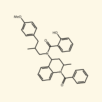 COc1ccc(CC(C)CN(C(=O)c2ccccc2O)C2CC(C)N(C(=O)c3ccccc3)c3ccccc32)cc1